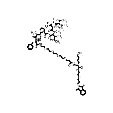 CC[C@H](C)[C@@H]([C@@H](CC(=O)N1CCC[C@H]1[C@H](OC)[C@@H](C)C(=O)N[C@@H](Cc1ccccc1)C(=O)NCCOCCOCCOCCOCCC(=O)ON[C@@H](CCCCN)C(=O)NCCOCCON1C(=O)c2ccccc2C1=O)OC)N(C)C(=O)[C@@H](NC(=O)[C@H](C(C)C)N(C)C)C(C)C